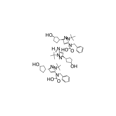 CC(C)(C)n1nc([C@@H]2CC[C@H](O)C2)cc1N(Cc1ccccc1)C(=O)O.CC(C)(C)n1nc([C@H]2CC[C@@H](O)C2)cc1N.CC(C)(C)n1nc([C@H]2CC[C@@H](O)C2)cc1N(Cc1ccccc1)C(=O)O